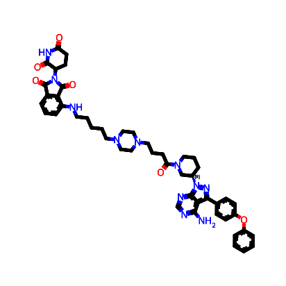 Nc1ncnc2c1c(-c1ccc(Oc3ccccc3)cc1)nn2[C@@H]1CCCN(C(=O)CCCN2CCN(CCCCCNc3cccc4c3C(=O)N(C3CCC(=O)NC3=O)C4=O)CC2)C1